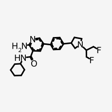 Nc1ncc(-c2ccc(C3CCN(C(CF)CF)C3)cc2)cc1C(=O)NC1CCCCC1